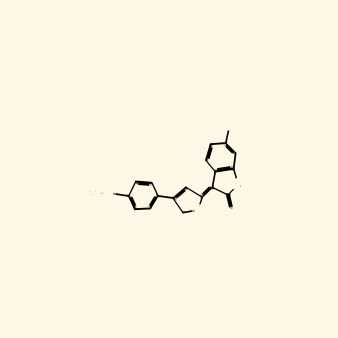 COc1ccc(C2=C/C(=C3/C(=O)Nc4cc(F)ccc43)OC2)cc1